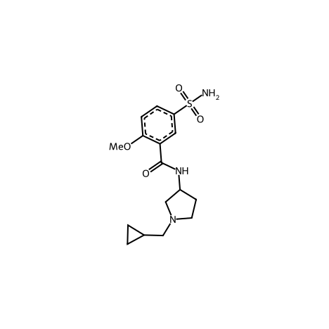 COc1ccc(S(N)(=O)=O)cc1C(=O)NC1CCN(CC2CC2)C1